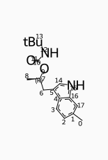 Cc1ccc2c(C[C@@H](C)OC(=O)NC(C)(C)C)c[nH]c2c1